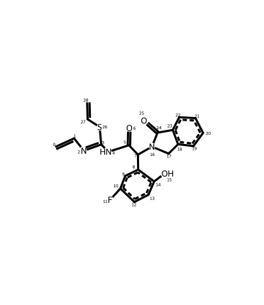 C=C/N=C(/NC(=O)C(c1cc(F)ccc1O)N1Cc2ccccc2C1=O)SC=C